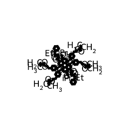 C=C(C)C(=O)OCCc1ccc(Oc2cc3c4c(cc(Oc5ccc(CCOC(=O)C(=C)C)cc5)c5c6c(Oc7ccc(CCOC(=O)C(=C)C)cc7)cc7c8c(cc(Oc9ccc(CCOC(=O)C(=C)C)cc9)c(c2c45)c86)C(=O)N(C(C(=O)N(CC)c2ccccc2)C(C)C)C7O)C(=O)N(C(C(=O)N(CC)c2ccccc2)C(C)C)C3=O)cc1